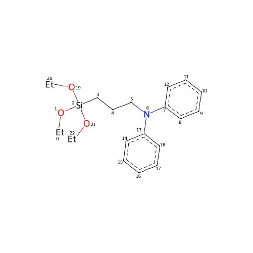 CCO[Si](CCCN(c1ccccc1)c1ccccc1)(OCC)OCC